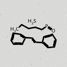 C(=Cc1ccccc1)c1ccccc1.CCCCCP=O.S